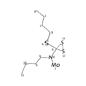 CCCCSC1([N]([Mo])CCCC)SS1